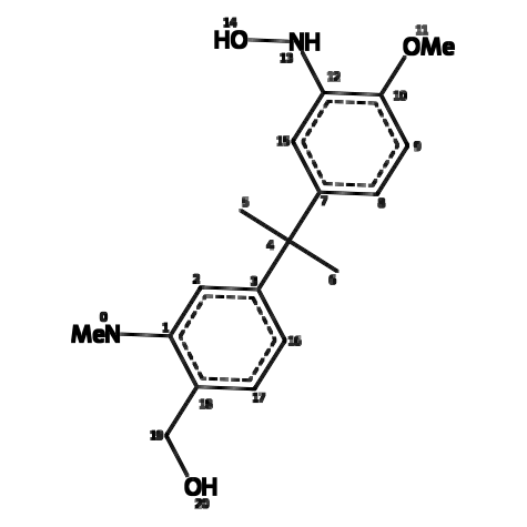 CNc1cc(C(C)(C)c2ccc(OC)c(NO)c2)ccc1CO